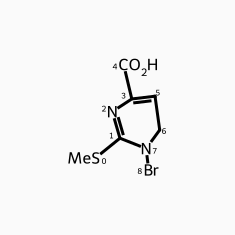 CSC1=NC(C(=O)O)=CCN1Br